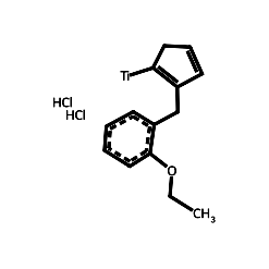 CCOc1ccccc1CC1=[C]([Ti])CC=C1.Cl.Cl